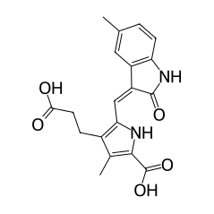 Cc1ccc2c(c1)C(=Cc1[nH]c(C(=O)O)c(C)c1CCC(=O)O)C(=O)N2